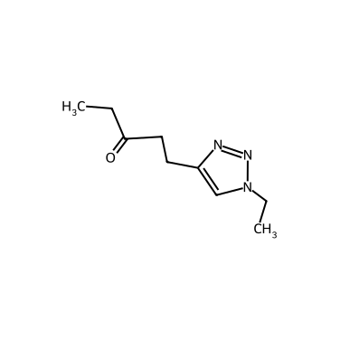 CCC(=O)CCc1cn(CC)nn1